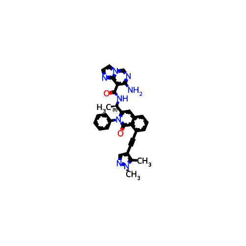 Cc1c(C#Cc2cccc3cc([C@@H](C)NC(=O)c4c(N)ncn5ccnc45)n(-c4ccccc4)c(=O)c23)cnn1C